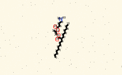 CCCCCCCCCC(CCCCCCC)C(=O)OCC(C)OC(=O)CCCN(C)C